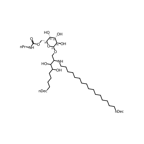 CCCCCCCCCCCCCCCCCCCCCCCCCCNC(CO[C@H]1O[C@H](COC(=O)NCCC)[C@H](O)[C@H](O)[C@H]1O)C(O)C(O)CCCCCCCCCCCCCC